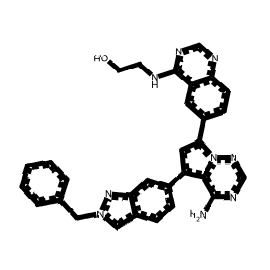 Nc1ncnn2c(-c3ccc4ncnc(NCCO)c4c3)cc(-c3ccc4cn(Cc5ccccc5)nc4c3)c12